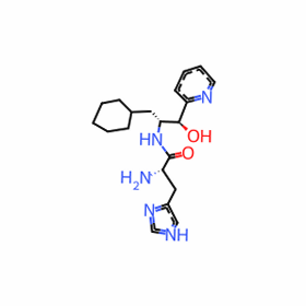 N[C@@H](Cc1c[nH]cn1)C(=O)N[C@H](CC1CCCCC1)[C@H](O)c1ccccn1